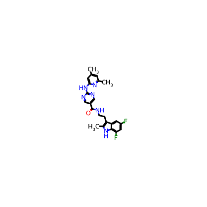 Cc1cc(C)nc(Nc2ncc(C(=O)NCCc3c(C)[nH]c4c(F)cc(F)cc34)cn2)c1